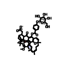 COC(=O)/C(C)=C\CC12OC(C)(C)C3CC(C1=O)C(C[N+](=O)[O-])C1C(=O)c4c(OC(=O)c5ccc(O[C@@H]6O[C@H](CO)[C@@H](O)[C@@H](O)[C@H]6O)cc5)c5c(c(CC=C(C)C)c4OC132)OC(C)(CCC=C(C)C)C=C5